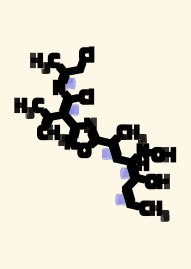 C=C(C)/C(=C(Cl)\N=C(\C)CCl)c1noc(/C(C)=C/C(NO)=C(O)\C=C/C)n1